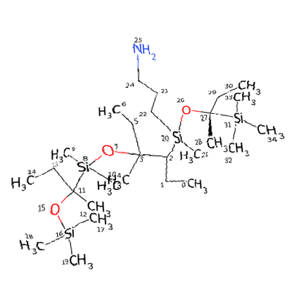 CCC(C(C)(CC)O[Si](C)(C)C(C)(CC)O[Si](C)(C)C)[Si](C)(CCCN)O[C@](C)(CC)[Si](C)(C)C